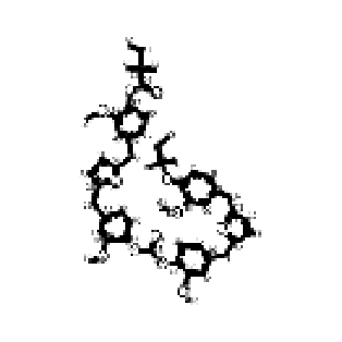 CCC(C)(C)Oc1ccc(Cc2ccc(Cc3ccc(OC(=O)Oc4ccc(Cc5ccc(Cc6ccc(OC(=O)C(C)(C)CC)c(OC)c6)o5)cc4OC)c(OC)c3)o2)cc1OC